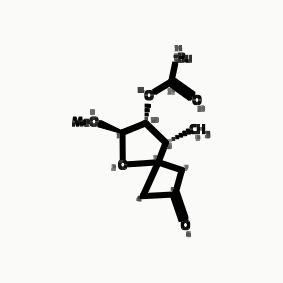 CO[C@@H]1OC2(CC(=O)C2)[C@@H](C)[C@H]1OC(=O)C(C)(C)C